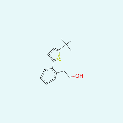 CC(C)(C)c1ccc(-c2ccccc2CCO)s1